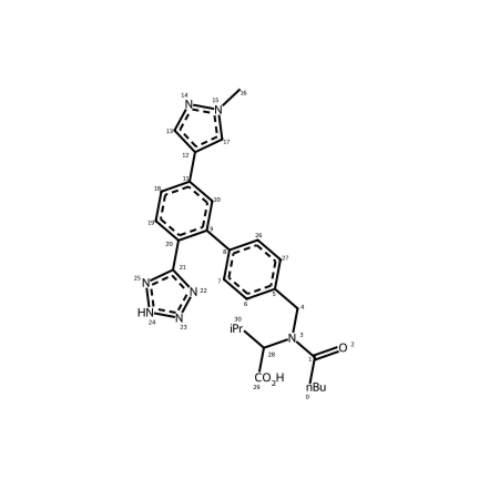 CCCCC(=O)N(Cc1ccc(-c2cc(-c3cnn(C)c3)ccc2-c2nn[nH]n2)cc1)C(C(=O)O)C(C)C